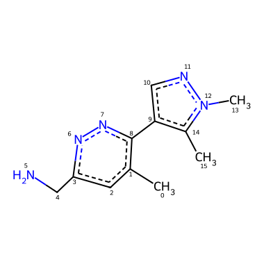 Cc1cc(CN)nnc1-c1cnn(C)c1C